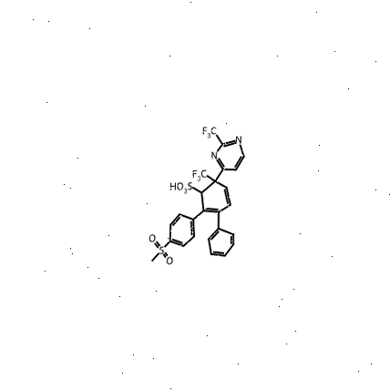 CS(=O)(=O)c1ccc(C2=C(c3ccccc3)C=CC(c3ccnc(C(F)(F)F)n3)(C(F)(F)F)C2S(=O)(=O)O)cc1